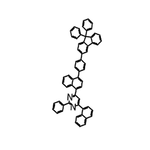 c1ccc(-c2nc(-c3cccc4ccccc34)cc(-c3ccc(-c4ccc(-c5ccc6c(c5)-c5ccccc5C6(c5ccccc5)c5ccccc5)cc4)c4ccccc34)n2)cc1